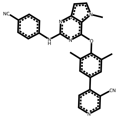 Cc1cc(-c2ccncc2C#N)cc(C)c1Oc1nc(Nc2ccc(C#N)cc2)nc2ccn(C)c12